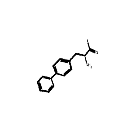 N[C@@H](Cc1ccc(-c2ccccc2)cc1)C(=O)I